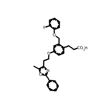 Cc1oc(-c2ccccc2)nc1CCOc1ccc(CCC(=O)O)c(COc2ccccc2F)c1